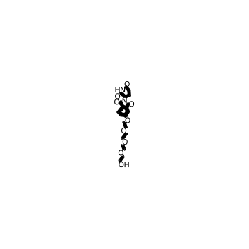 O=C1CCC(N2C(=O)c3ccc(OCCOCCOCCOCCO)cc3C2=O)C(=O)N1